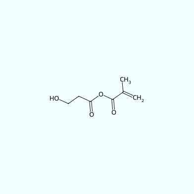 C=C(C)C(=O)OC(=O)CCO